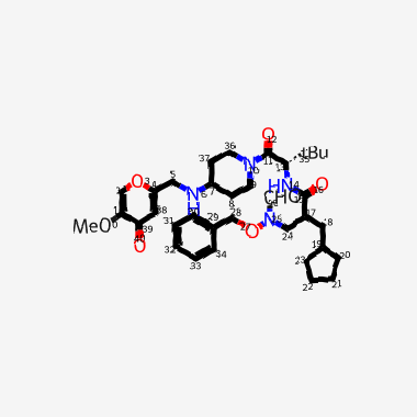 COc1coc(CNC2CCN(C(=O)[C@@H](NC(=O)C(CC3CCCC3)CN(C=O)OCc3ccccc3)C(C)(C)C)CC2)cc1=O